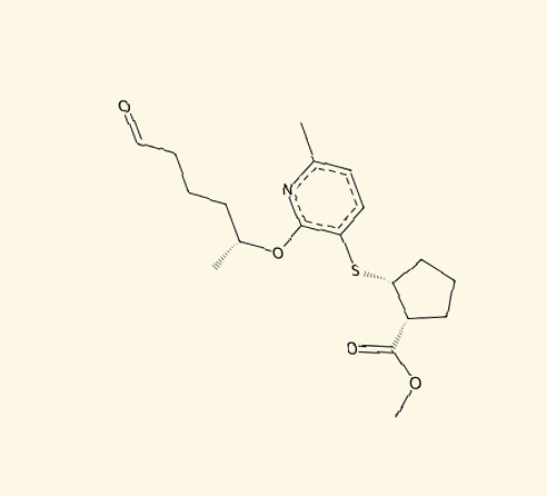 COC(=O)[C@H]1CCC[C@H]1Sc1ccc(C)nc1O[C@H](C)CCCC=O